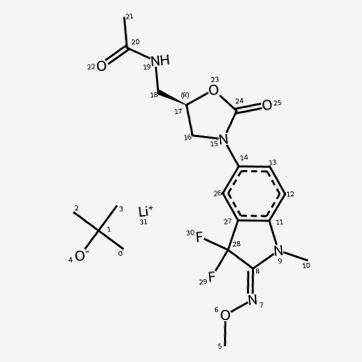 CC(C)(C)[O-].CON=C1N(C)c2ccc(N3C[C@@H](CNC(C)=O)OC3=O)cc2C1(F)F.[Li+]